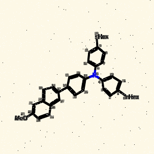 CCCCCCc1ccc(N(c2ccc(CCCCCC)cc2)c2ccc(-c3ccc4cc(OC)ccc4c3)cc2)cc1